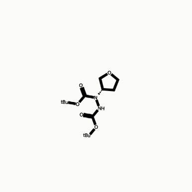 CC(C)(C)OC(=O)NN(C(=O)OC(C)(C)C)[C@H]1CCOC1